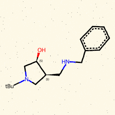 CC(C)(C)N1C[C@H](CNCc2ccccc2)[C@H](O)C1